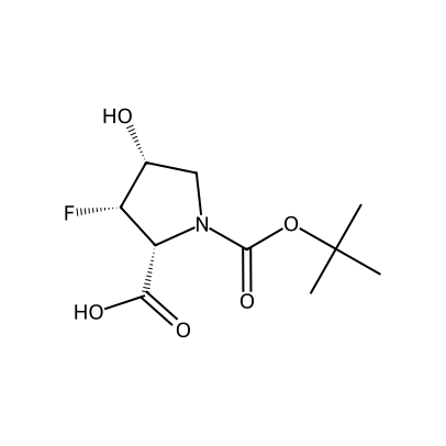 CC(C)(C)OC(=O)N1C[C@@H](O)[C@@H](F)[C@H]1C(=O)O